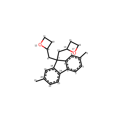 Cc1ccc2c(c1)C(CC1CCO1)(CC1CCO1)c1cc(C)ccc1-2